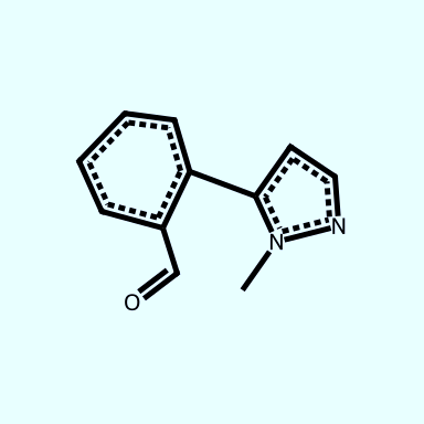 Cn1nccc1-c1ccccc1C=O